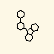 C1CCC(C2CCCC(N3C4CCCCC4C4CCCCC43)C2)CC1